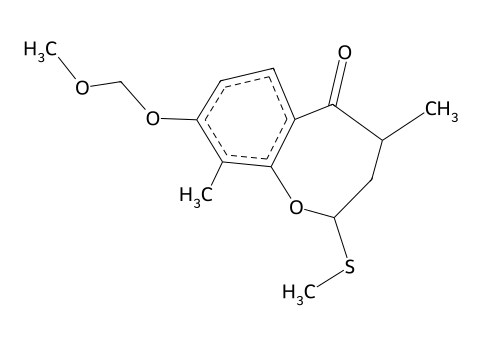 COCOc1ccc2c(c1C)OC(SC)CC(C)C2=O